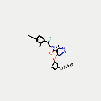 COc1cccc(Oc2cnnc(C)c2C(=O)NCC(F)c2ccc(C)cc2C)c1